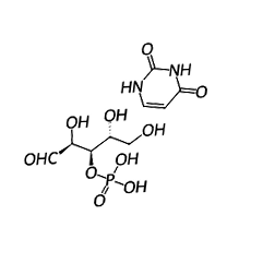 O=C[C@@H](O)[C@H](OP(=O)(O)O)[C@H](O)CO.O=c1cc[nH]c(=O)[nH]1